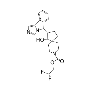 O=C(OCC(F)F)N1CCC2(CCC(C3c4ccccc4-c4cncn43)C2O)CC1